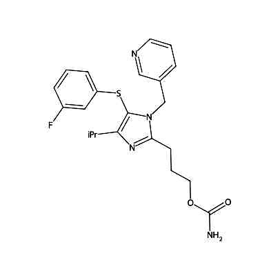 CC(C)c1nc(CCCOC(N)=O)n(Cc2cccnc2)c1Sc1cccc(F)c1